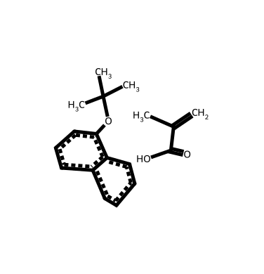 C=C(C)C(=O)O.CC(C)(C)Oc1cccc2ccccc12